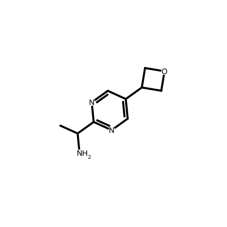 CC(N)c1ncc(C2COC2)cn1